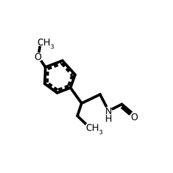 CCC(CNC=O)c1ccc(OC)cc1